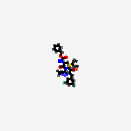 CCCC(CCC)SCC(NC(=O)OCc1ccccc1)C(=O)N(CC1CC1)C[C@@H](O)[C@@H](N)Cc1cc(F)cc(F)c1